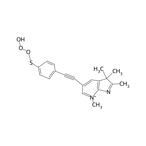 CC1=Nc2c(cc(C#Cc3ccc(SOOO)cc3)c[n+]2C)C1(C)C